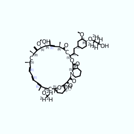 [2H]C([2H])([2H])O[C@H]1C[C@@H]2CC[C@@H](C)[C@@](O)(O2)C(=O)C(=O)N2CCCC[C@H]2C(=O)O[C@H]([C@H](C)C[C@@H]2CC[C@@H](OC([2H])([2H])C([2H])([2H])O)[C@H](OC)C2)CC(=O)[C@H](C)/C=C(\C)[C@@H](O)[C@@H](OC)C(=C)[C@H](C)C[C@H](C)/C=C/C=C/C=C/1C